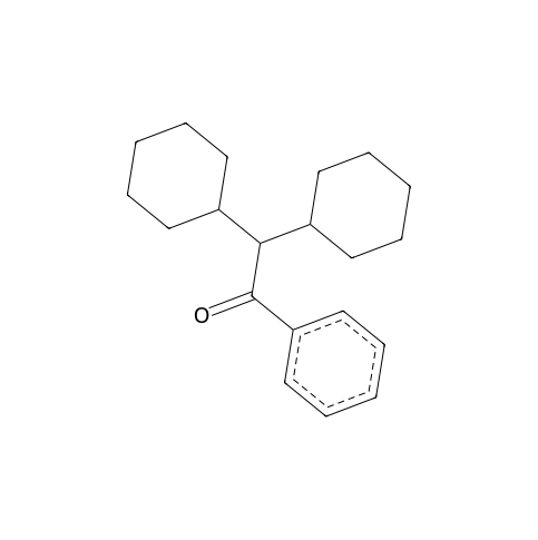 O=C(c1ccccc1)C(C1CCCCC1)C1CCCCC1